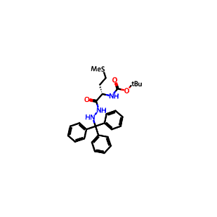 CSCC[C@H](NC(=O)OC(C)(C)C)C(=O)NNC(c1ccccc1)(c1ccccc1)c1ccccc1